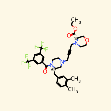 CCOC(=O)[C@@H]1COCCN1CC#CCN1CCN(C(=O)c2cc(C(F)(F)F)cc(C(F)(F)F)c2)[C@H](Cc2ccc(C)c(C)c2)C1